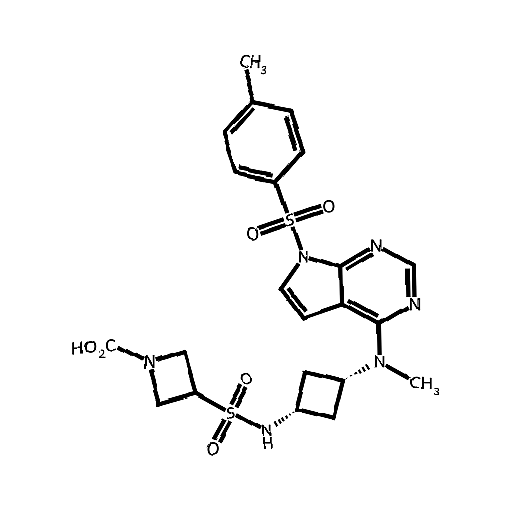 Cc1ccc(S(=O)(=O)n2ccc3c(N(C)[C@H]4C[C@@H](NS(=O)(=O)C5CN(C(=O)O)C5)C4)ncnc32)cc1